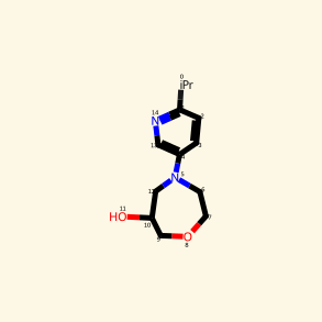 CC(C)c1ccc(N2CCOCC(O)C2)cn1